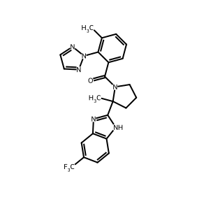 Cc1cccc(C(=O)N2CCCC2(C)c2nc3cc(C(F)(F)F)ccc3[nH]2)c1-n1nccn1